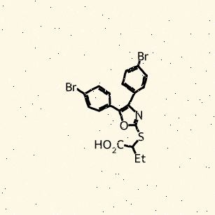 CCC(Sc1nc(-c2ccc(Br)cc2)c(-c2ccc(Br)cc2)o1)C(=O)O